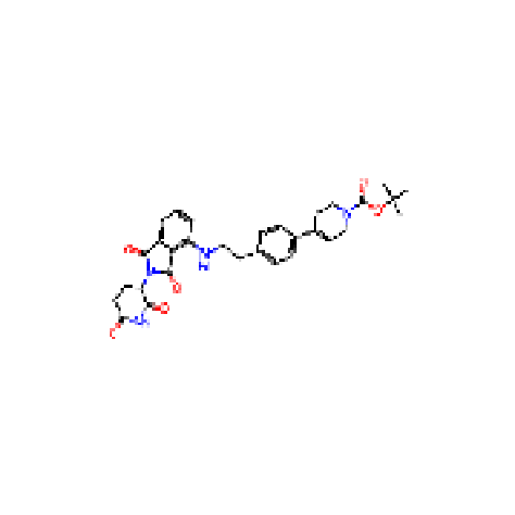 CC(C)(C)OC(=O)N1CC=C(c2ccc(CCNc3cccc4c3C(=O)N(C3CCC(=O)NC3=O)C4=O)cc2)CC1